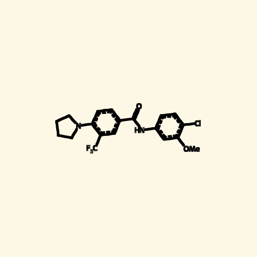 COc1cc(NC(=O)c2ccc(N3CCCC3)c(C(F)(F)F)c2)ccc1Cl